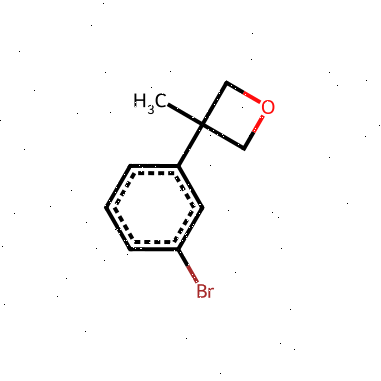 CC1(c2cccc(Br)c2)COC1